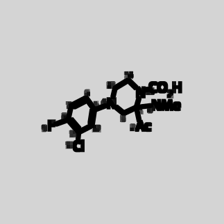 CNC1(C(C)=O)CN(c2ccc(F)c(Cl)c2)CCN1C(=O)O